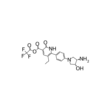 CCc1cc(C(=O)OC(=O)C(F)(F)F)c(=O)[nH]c1-c1ccc(N2C[C@@H](N)[C@@H](O)C2)cc1